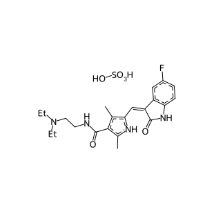 CCN(CC)CCNC(=O)c1c(C)[nH]c(/C=C2\C(=O)Nc3ccc(F)cc32)c1C.O=S(=O)(O)O